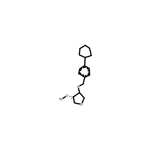 CCO[C@H]1COCC1OCc1ccc(C2CCCCC2)cc1